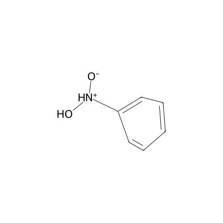 [O-][NH+](O)c1ccccc1